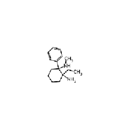 CCC1(N)CCCCC1(NC)c1ccccc1